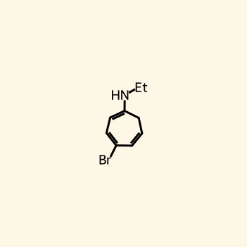 CCNC1=CC=C(Br)C=CC1